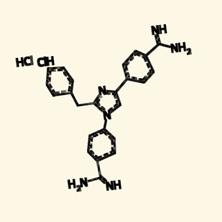 Cl.Cl.N=C(N)c1ccc(-c2cn(-c3ccc(C(=N)N)cc3)c(Cc3ccccc3)n2)cc1